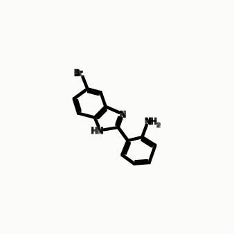 Nc1ccccc1-c1nc2cc(Br)ccc2[nH]1